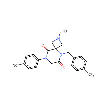 N#Cc1ccc(N2CC(=O)N(Cc3ccc(C(F)(F)F)cc3)C3(CN(C=O)C3)C2=O)cc1